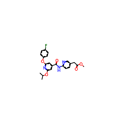 COC(=O)Cc1ccc(NC(=O)c2cc(Oc3ccc(F)cc3)nc(OC(C)C)c2)nc1